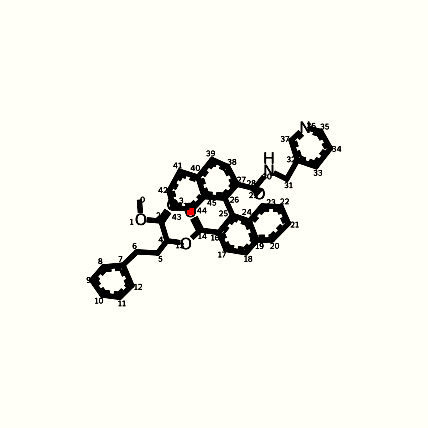 COC(=O)C(CCc1ccccc1)OC(=O)c1ccc2ccccc2c1-c1c(C(=O)NCc2cccnc2)ccc2ccccc12